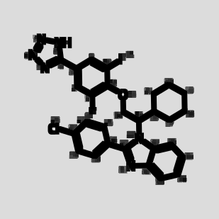 Fc1cc(-c2nnn[nH]2)cc(F)c1OCC(C1CCCCC1)n1c(-c2ccc(Cl)cc2)nc2ccccc21